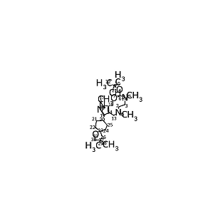 CN(CCN(C)C(=O)OC(C)(C)C)Cc1cn(C)nc1[C@H]1CC[C@@]2(CC1)CC(C)(C)CO2